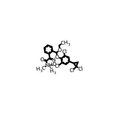 CCOC(Oc1c(Cl)cc(C2CC2(Cl)Cl)cc1Cl)c1ccccc1C(=NOC)C(=O)NC